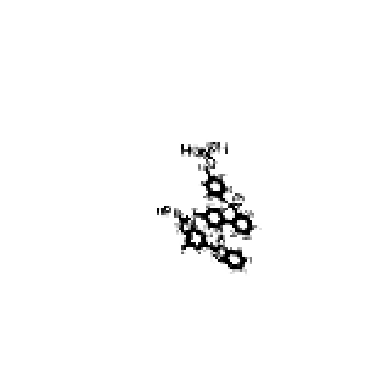 CCCc1nc2c(C)cc(-c3nc4ccccc4n3C)cc2n1Cc1ccc(-c2ccccc2C(=O)Oc2ccc(CON(O)O)cc2)cc1